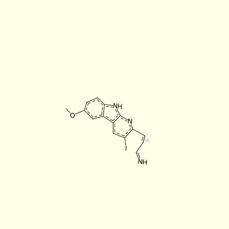 COc1ccc2[nH]c3nc(/C=C\C=N)c(I)cc3c2c1